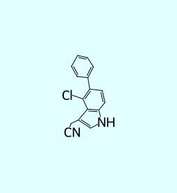 N#CCc1c[nH]c2ccc(-c3ccccc3)c(Cl)c12